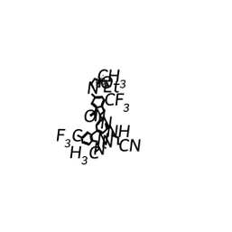 CCO[C@]1(C)CCN(Cc2cc3c(c(C(F)(F)F)c2)CN(c2cc(-c4cc(C(F)(F)F)ccc4-c4nncn4C)cc(NCCCC#N)n2)C3=O)C1